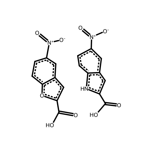 O=C(O)c1cc2cc([N+](=O)[O-])ccc2[nH]1.O=C(O)c1cc2cc([N+](=O)[O-])ccc2o1